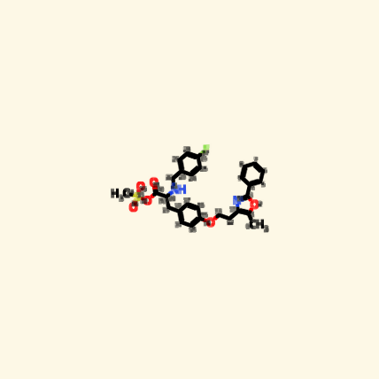 Cc1oc(-c2ccccc2)nc1CCOc1ccc(C[C@H](NCc2ccc(F)cc2)C(=O)OS(C)(=O)=O)cc1